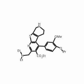 CCOC(=O)c1c(CN(CC)CC)nc2sc3c(c2c1-c1ccc(OC(C)C)c(OC)c1)CCNC3